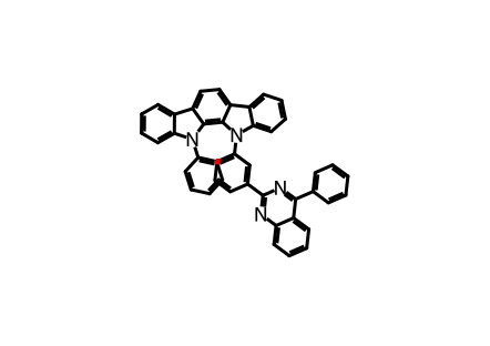 c1ccc(-c2nc(-c3cccc(-n4c5ccccc5c5ccc6c7ccccc7n(-c7ccccc7)c6c54)c3)nc3ccccc23)cc1